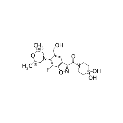 C[C@@H]1CN(c2c(CO)cc3c(C(=O)N4CCS(O)(O)CC4)noc3c2F)C[C@H](C)O1